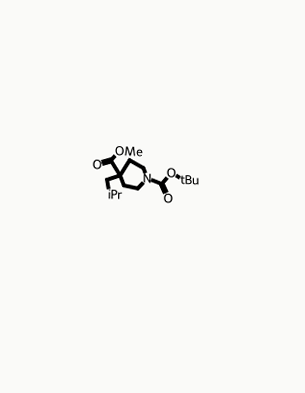 COC(=O)C1(CC(C)C)CCN(C(=O)OC(C)(C)C)CC1